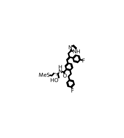 CSCC[C@@H](CO)NC(=O)c1cc(C=C(Cc2ncc[nH]2)c2ccc(F)cc2)ccc1CCc1ccc(F)cc1